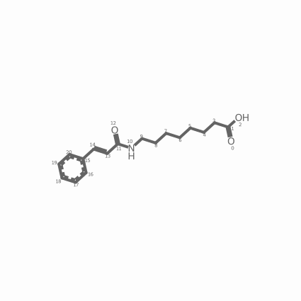 O=C(O)CCCCCCCNC(=O)C=Cc1ccccc1